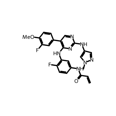 C=CC(=O)Nc1ccc(F)c(Nc2nc(Nc3cnn(C)c3)ncc2-c2ccc(OC)c(F)c2)c1